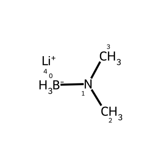 [BH3-]N(C)C.[Li+]